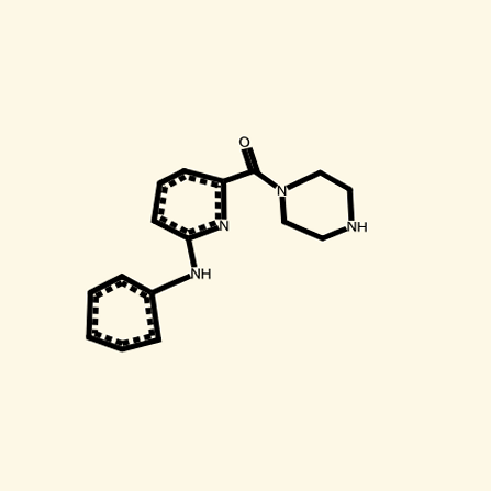 O=C(c1cccc(Nc2ccccc2)n1)N1CCNCC1